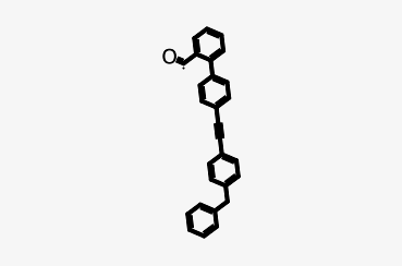 O=[C]c1ccccc1-c1ccc(C#Cc2ccc(Cc3ccccc3)cc2)cc1